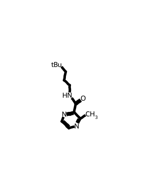 Cc1nccnc1C(=O)NCCCC(C)(C)C